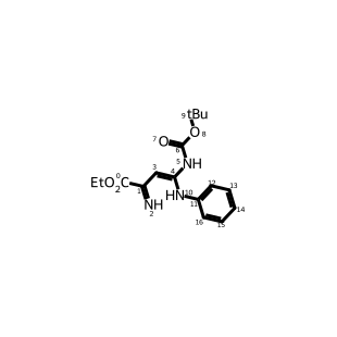 CCOC(=O)C(=N)/C=C(/NC(=O)OC(C)(C)C)Nc1ccccc1